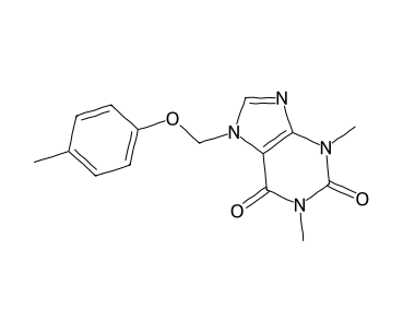 Cc1ccc(OCn2cnc3c2c(=O)n(C)c(=O)n3C)cc1